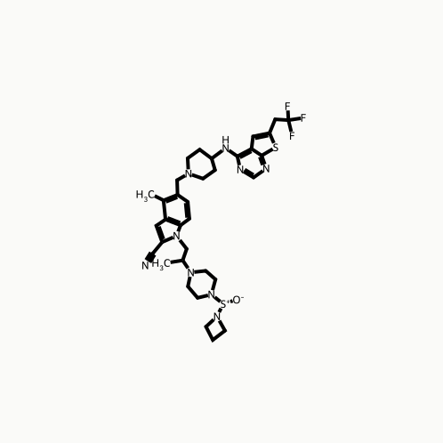 Cc1c(CN2CCC(Nc3ncnc4sc(CC(F)(F)F)cc34)CC2)ccc2c1cc(C#N)n2CC(C)N1CCN([S+]([O-])N2CCC2)CC1